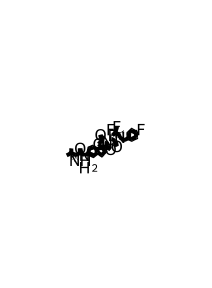 CC(C)[C@@H](N)C(=O)Nc1ccc2c(c1)CCC21OC(=O)N(CC(=O)N(Cc2ccc(F)cc2)[C@@H](C)C(F)(F)F)C1=O